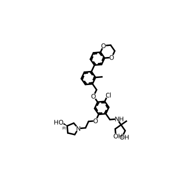 Cc1c(COc2cc(OCCN3CC[C@@H](O)C3)c(CNC(C)(CO)CO)cc2Cl)cccc1-c1ccc2c(c1)OCCO2